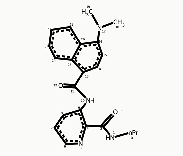 CCCNC(=O)c1ncccc1NC(=O)c1ccc(N(C)C)c2ccccc12